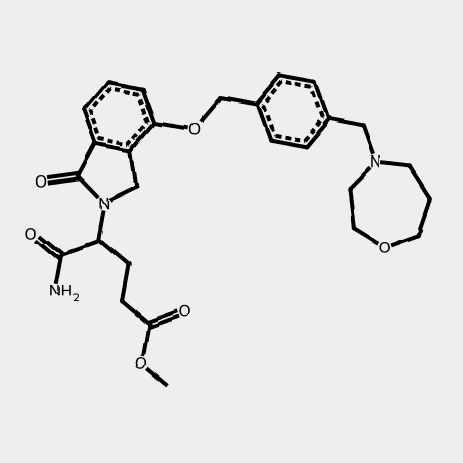 COC(=O)CCC(C(N)=O)N1Cc2c(OCc3ccc(CN4CCCOCC4)cc3)cccc2C1=O